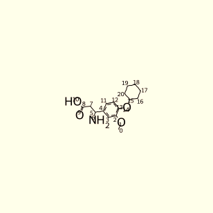 COc1cc(C(N)CC(=O)O)ccc1OC1CCCCC1